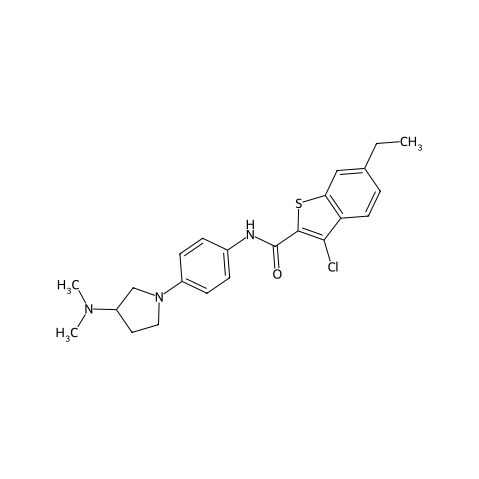 CCc1ccc2c(Cl)c(C(=O)Nc3ccc(N4CCC(N(C)C)C4)cc3)sc2c1